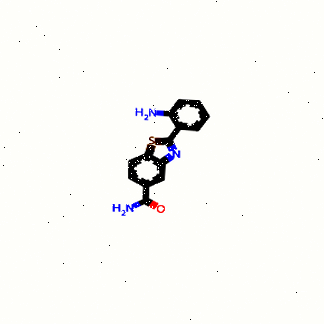 NC(=O)c1ccc2sc(-c3ccccc3N)nc2c1